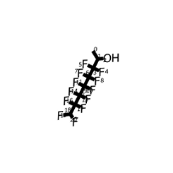 CC(O)C(F)(F)C(F)(F)C(F)(F)C(F)(F)C(F)(F)C(F)F